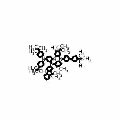 Cc1cc2c3c(c1)N(c1ccc(-c4ccc(C(C)(C)C)cc4)cc1)c1cc(C(C)(C)C)ccc1B3c1ccc(N(c3ccc(C(C)(C)C)cc3)c3ccc(C(C)(C)C)cc3)cc1N2c1ccc2c(c1)C(C)(C)c1ccccc1-2